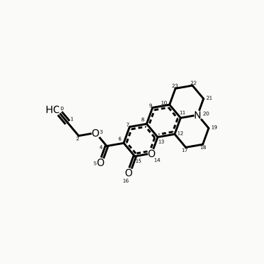 C#CCOC(=O)c1cc2cc3c4c(c2oc1=O)CCCN4CCC3